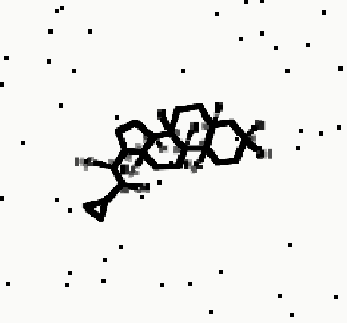 CC[C@]1(O)CC[C@@]2(C)[C@@H](CC[C@@H]3[C@@H]2CC[C@]2(C)[C@@H]([C@H](C)[C@@H](O)C4CC4)CC[C@@H]32)C1